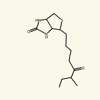 CCC(C)C(=O)CCCCC1SCC2NC(=O)NC21